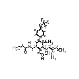 C=CC(=O)NCc1cc(-c2ccc(OC(F)(F)F)cc2)c(C)c(N(C)/C=C(\C)CC)c1CO